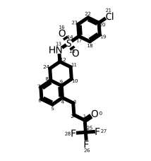 O=C(CCc1cccc2c1CCC(NS(=O)(=O)c1ccc(Cl)cc1)C2)C(F)(F)F